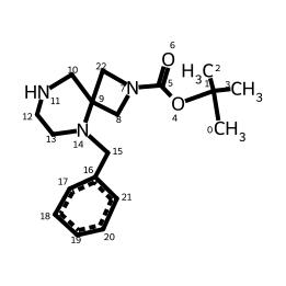 CC(C)(C)OC(=O)N1CC2(CNCCN2Cc2ccccc2)C1